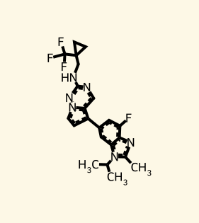 Cc1nc2c(F)cc(-c3ccn4nc(NCC5(C(F)(F)F)CC5)ncc34)cc2n1C(C)C